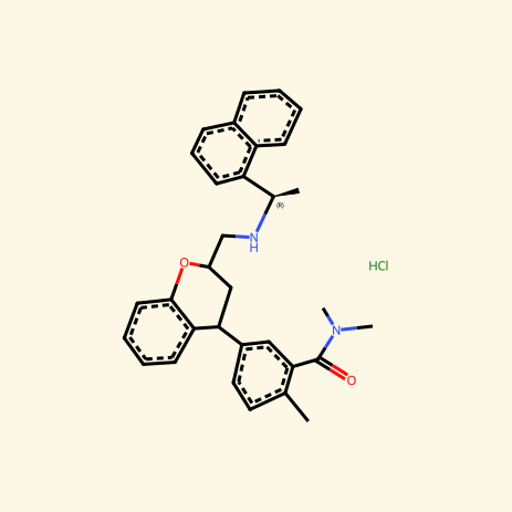 Cc1ccc(C2CC(CN[C@H](C)c3cccc4ccccc34)Oc3ccccc32)cc1C(=O)N(C)C.Cl